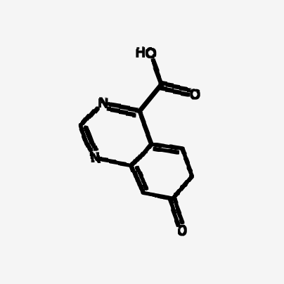 O=C1C=c2ncnc(C(=O)O)c2=CC1